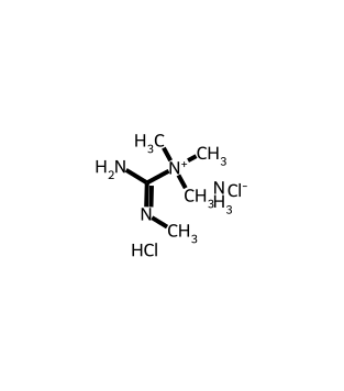 CN=C(N)[N+](C)(C)C.Cl.N.[Cl-]